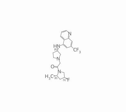 C[C@@H]1C[C@H](F)CN1C(=O)CN1CC[C@@H](Nc2cc(C(F)(F)F)cc3ncccc23)C1